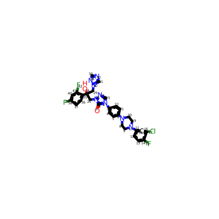 O=c1n(-c2ccc(N3CCN(c4ccc(F)c(Cl)c4)CC3)cc2)cnn1CC(O)(Cn1cncn1)c1ccc(F)cc1F